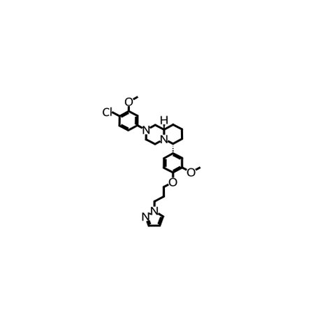 COc1cc(N2CCN3[C@@H](CCC[C@@H]3c3ccc(OCCCn4cccn4)c(OC)c3)C2)ccc1Cl